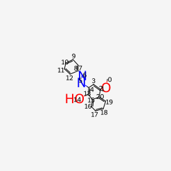 COc1cc(/N=N/c2ccccc2)c(O)c2ccccc12